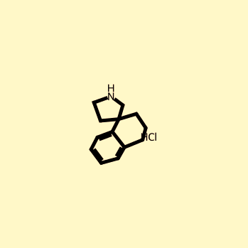 Cl.c1ccc2c(c1)CCCC21CCNC1